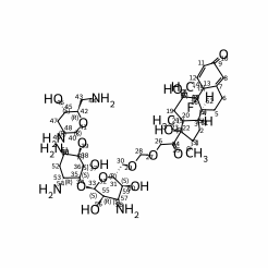 C[C@H]1C[C@H]2[C@@H]3CCC4=CC(=O)C=C[C@]4(C)[C@@]3(F)[C@@H](O)C[C@]2(C)[C@@]1(O)C(=O)COCOC[C@H]1O[C@H](O[C@@H]2[C@@H](O)[C@H](O[C@H]3O[C@H](CN)[C@@H](O)C[C@H]3N)[C@@H](N)C[C@H]2N)[C@H](O)[C@@H](N)[C@@H]1O